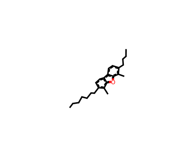 CCCCCCCc1ccc2c(oc3c(C)c(CCCC)ccc32)c1C